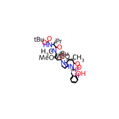 CC[C@H](C)[C@@H]([C@@H](CC(=O)N1CCCC1[C@H](OC)[C@@H](C)C(=O)N[C@@H](Cc1ccccc1)[PH](=O)O)OC)N(C)C(=O)C(NC(=O)OC(C)(C)C)C(C)C